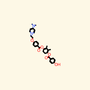 CC1=C(OC(=O)c2ccc(O)cc2)CCC(OC(=O)c2ccc(OCC[n+]3ccc(N(C)C)cc3)cc2)=C1C